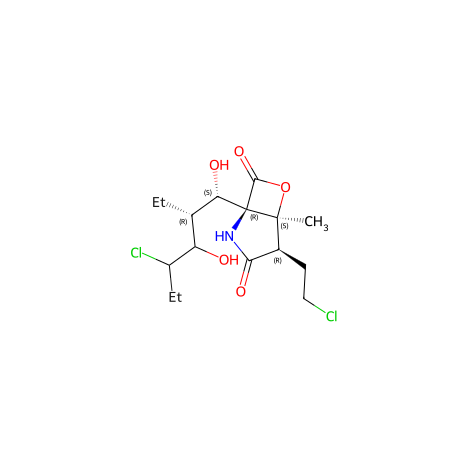 CCC(Cl)C(O)[C@H](CC)[C@H](O)[C@@]12NC(=O)[C@H](CCCl)[C@]1(C)OC2=O